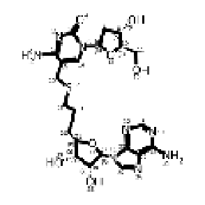 Nc1nc(=O)n([C@H]2C[C@H](O)[C@@H](CO)O2)cc1CSCCC[C@H]1O[C@@H](n2cnc3c(N)ncnc32)[C@H](O)[C@@H]1O